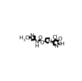 Cn1cc(NC(=O)O[C@@H]2CCN(c3cn[nH]c(=O)c3Cl)C2)cn1